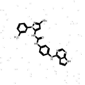 Cc1cccc(-n2nc(C(C)(C)C)cc2NC(=O)Nc2ccc(Nc3ncnc4[nH]ccc34)cc2)c1